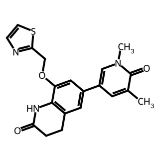 Cc1cc(-c2cc3c(c(OCc4nccs4)c2)NC(=O)CC3)cn(C)c1=O